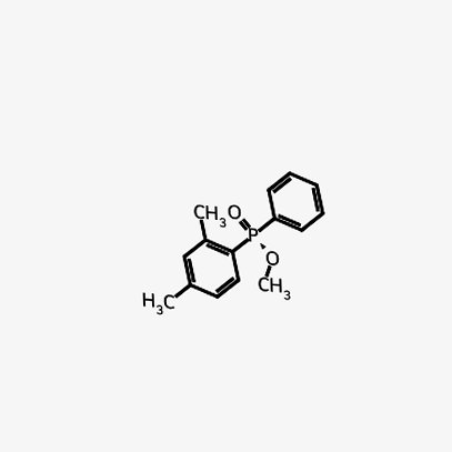 CO[P@](=O)(c1ccccc1)c1ccc(C)cc1C